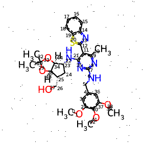 COc1cc(CNc2nc(C)c(-c3nc4ccccc4s3)c(N[C@@H]3C[C@H](CO)[C@H]4OC(C)(C)O[C@H]43)n2)cc(OC)c1OC